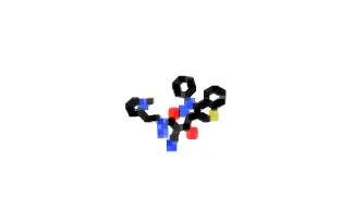 Cn1cccc1CCNC(=O)C(C#N)C(=O)c1nn(C2C=CCC=C2)c2c1=CSC1=CC=CCC=21